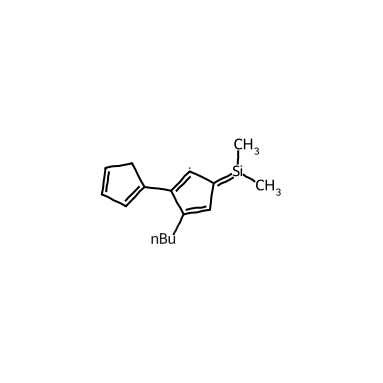 CCCCC1=CC(=[Si](C)C)[C]=C1C1=CC=CC1